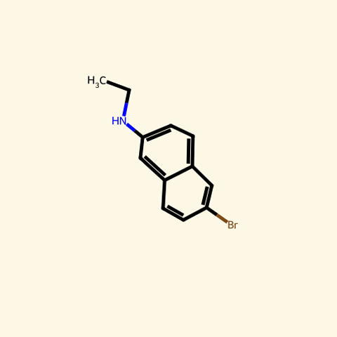 CCNc1ccc2cc(Br)ccc2c1